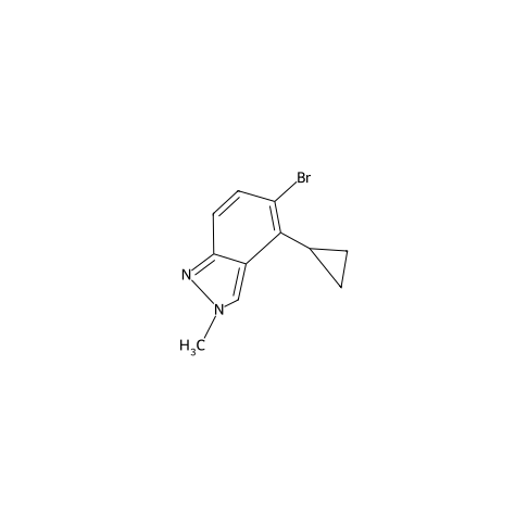 Cn1cc2c(C3CC3)c(Br)ccc2n1